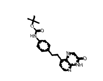 CC(C)(C)OC(=O)Nc1ccc(CCc2ccnc3[nH]c(=O)cnc23)cc1